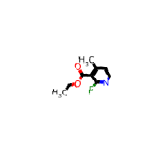 CCOC(=O)c1c(C)ccnc1F